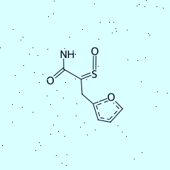 [NH]C(=O)C(Cc1ccco1)=S=O